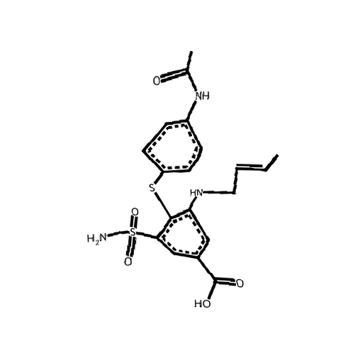 CC=CCNc1cc(C(=O)O)cc(S(N)(=O)=O)c1Sc1ccc(NC(C)=O)cc1